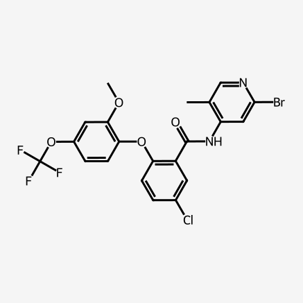 COc1cc(OC(F)(F)F)ccc1Oc1ccc(Cl)cc1C(=O)Nc1cc(Br)ncc1C